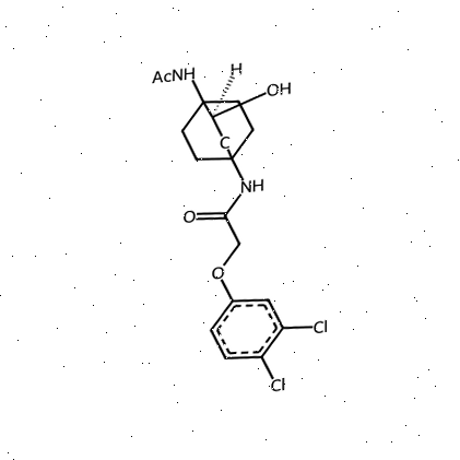 CC(=O)NC12CCC(NC(=O)COc3ccc(Cl)c(Cl)c3)(CC1)C[C@@H]2O